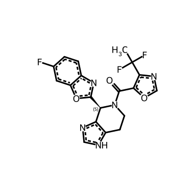 CC(F)(F)c1ncoc1C(=O)N1CCc2[nH]cnc2[C@H]1c1nc2ccc(F)cc2o1